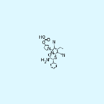 CCc1c(C#N)c(SC(C(N)=O)c2ccccc2)nc(N2CCC(OC(=O)O)C2)c1C#N